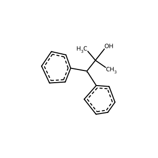 CC(C)(O)[C](c1ccccc1)c1ccccc1